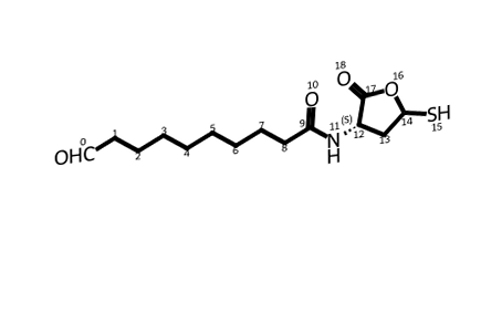 O=CCCCCCCCCC(=O)N[C@H]1CC(S)OC1=O